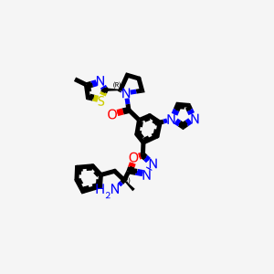 Cc1csc([C@H]2CCCN2C(=O)c2cc(-c3nnc([C@](C)(N)Cc4ccccc4)o3)cc(-n3ccnc3)c2)n1